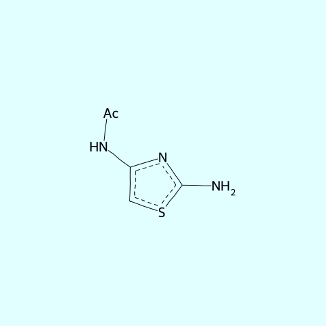 CC(=O)Nc1csc(N)n1